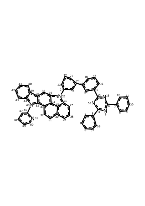 c1ccc(-c2nc(-c3ccccc3)nc(-c3cccc(-c4cccc(-n5c6cccc7ccc8c(c76)c5cc5c6ccccc6n(-c6ccccn6)c58)c4)c3)n2)cc1